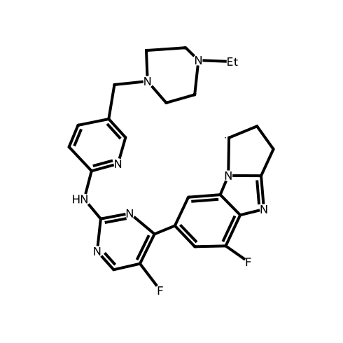 CCN1CCN(Cc2ccc(Nc3ncc(F)c(-c4cc(F)c5nc6n(c5c4)[CH]CC6)n3)nc2)CC1